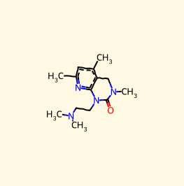 Cc1cc(C)c2c(n1)N(CCN(C)C)C(=O)N(C)C2